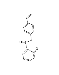 C=Cc1ccc(C[S+]([O-])c2cccc[n+]2[O-])cc1